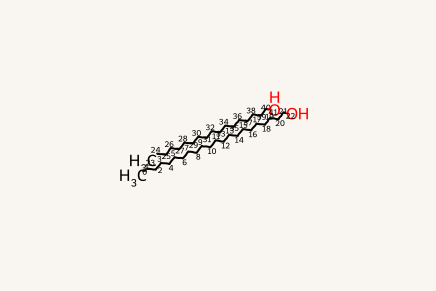 CCCCCCCCCCCCCCCCCCCCCCO.CCCCCCCCCCCCCCCCCCO